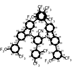 N#Cc1c(-n2c3cc(-c4cc(C(F)(F)F)cc(C(F)(F)F)c4)ccc3c3ccc(-c4cc(C(F)(F)F)cc(C(F)(F)F)c4)cc32)cc(-c2ccc(C(F)(F)F)cc2C(F)(F)F)cc1-n1c2cc(-c3cc(C(F)(F)F)cc(C(F)(F)F)c3)ccc2c2ccc(-c3cc(C(F)(F)F)cc(C(F)(F)F)c3)cc21